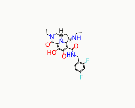 CCN[C@@H]1C[C@@H]2CN(CC)C(=O)c3c(O)c(=O)c(C(=O)NCc4ccc(F)cc4F)c1n32